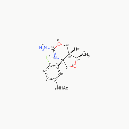 CC(=O)Nc1ccc(F)c([C@]23CO[C@H](C)[C@H]2COC(N)=N3)c1